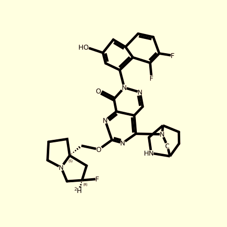 [2H][C@]1(F)CN2CCC[C@@]2(COc2nc(N3CC4CCC3CN4)c3cnn(-c4cc(O)cc5ccc(F)c(F)c45)c(=O)c3n2)C1